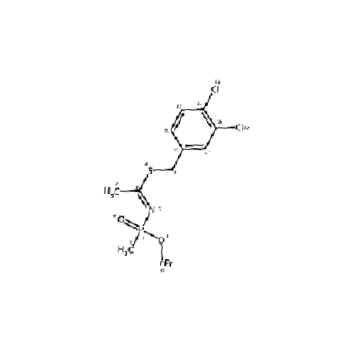 CCCOP(C)(=O)N=C(C)SCc1ccc(Cl)c(Cl)c1